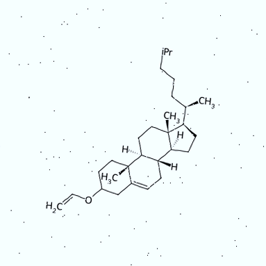 C=COC1CC[C@@]2(C)C(=CC[C@H]3[C@@H]4CC[C@H]([C@H](C)CCCC(C)C)[C@@]4(C)CC[C@@H]32)C1